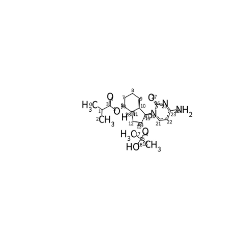 CC(C)C(=O)O[C@@H]1CCC=C2[C@H]1C[C@@H](OC(C)(C)O)[C@@H]2n1ccc(N)nc1=O